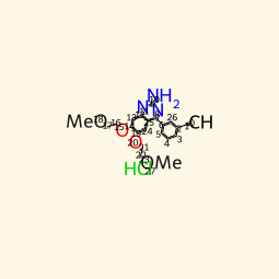 C#Cc1cccc(-c2nc(N)nc3cc(OCCOC)c(OCCOC)cc23)c1.Cl